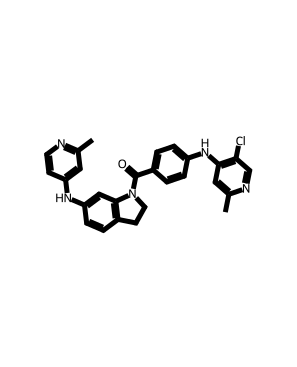 Cc1cc(Nc2ccc3c(c2)N(C(=O)c2ccc(Nc4cc(C)ncc4Cl)cc2)CC3)ccn1